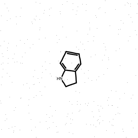 [c]1ccc2c(c1)NCC2